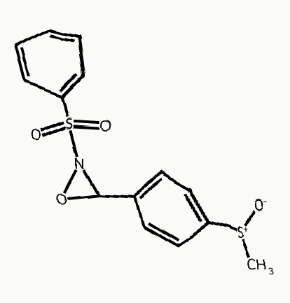 C[S+]([O-])c1ccc(C2ON2S(=O)(=O)c2ccccc2)cc1